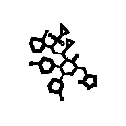 O=C1[C@@H](Cc2cnn[nH]2)O[C@H](c2cccc(Cl)c2)[C@@H](c2ccc(Cl)cc2)N1[C@H](CN(c1ccccc1F)S(=O)(=O)C1CC1)C1CC1